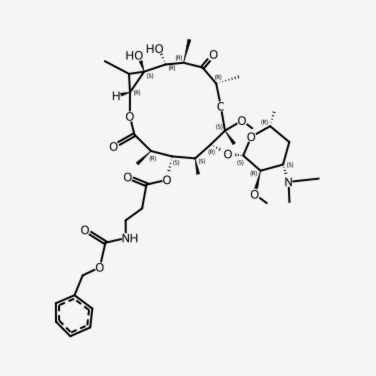 CO[C@H]1[C@H](O[C@@H]2[C@@H](C)[C@H](OC(=O)CCNC(=O)OCc3ccccc3)[C@@H](C)C(=O)O[C@@H]3C(C)[C@]3(O)[C@H](O)[C@@H](C)C(=O)[C@H](C)C[C@]2(C)OC)O[C@H](C)C[C@@H]1N(C)C